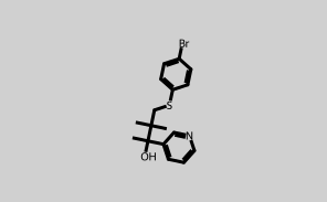 CC(C)(CSc1ccc(Br)cc1)C(C)(O)c1cccnc1